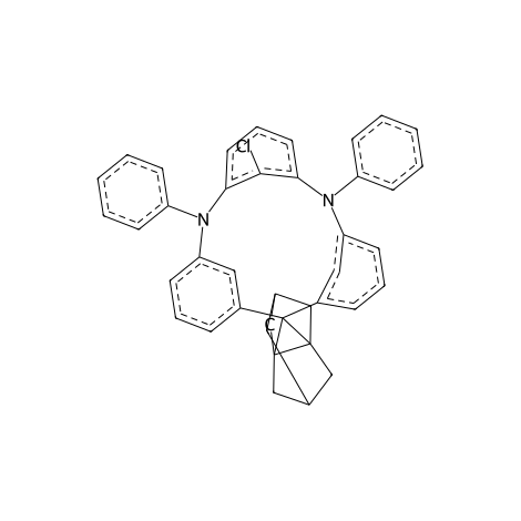 Clc1c2cccc1N(c1ccccc1)c1cccc(c1)C1(c3cccc(c3)N2c2ccccc2)C23CC4CC(C2)CC31C4